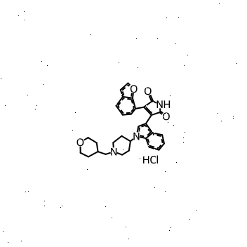 Cl.O=C1NC(=O)C(c2cccc3ccoc23)=C1c1cn(C2CCN(CC3CCOCC3)CC2)c2ccccc12